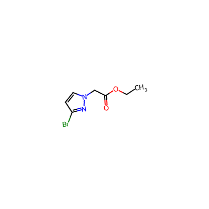 CCOC(=O)Cn1ccc(Br)n1